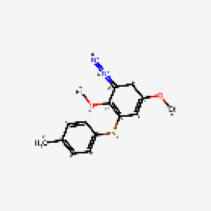 CCOC1=CC(Sc2ccc(C)cc2)=C(OCC)C(=[N+]=[N-])C1